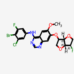 COc1cc2c(Nc3cc(F)c(Br)c(Cl)c3)ncnc2cc1OC1CO[C@H]2[C@H](F)CO[C@@H]12